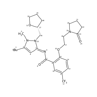 Cn1c(C(C)(C)C)cc(=NC(=O)c2cc(C(F)(F)F)ccc2OCCN2CCCC2=O)n1C[C@H]1CCCO1